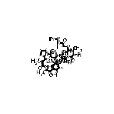 CC[C@H](C)[C@@H]([C@@H](CC(=O)N1CCC[C@H]1[C@H](OC)[C@@H](C)C(=O)N[C@H](C)[C@@H](O)c1ccccc1)OC)N(C)C(=O)[C@@H](NC(=O)[C@H](C(C)C)N(C)C(=O)CCC(=O)NCC(C)C)C(C)C